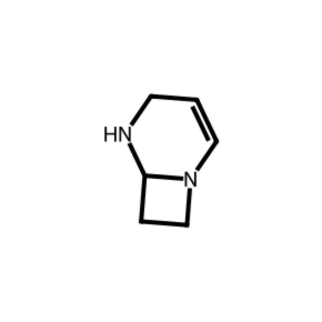 C1=CN2CCC2NC1